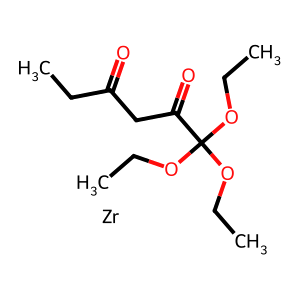 CCOC(OCC)(OCC)C(=O)CC(=O)CC.[Zr]